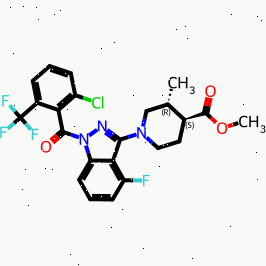 COC(=O)[C@H]1CCN(c2nn(C(=O)c3c(Cl)cccc3C(F)(F)F)c3cccc(F)c23)C[C@@H]1C